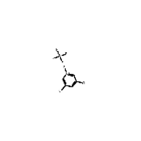 F[B-](F)(F)F.F[n+]1cc(Cl)cc(Cl)c1